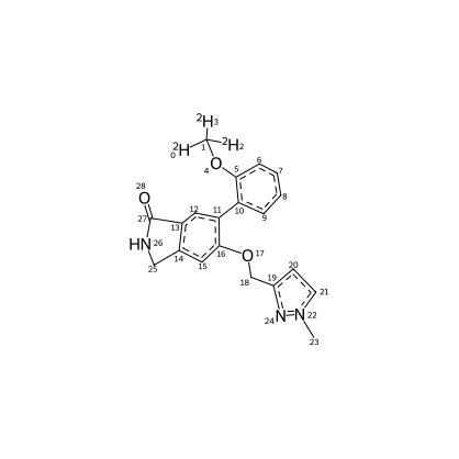 [2H]C([2H])([2H])Oc1ccccc1-c1cc2c(cc1OCc1ccn(C)n1)CNC2=O